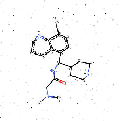 CCN(CC)CC(=O)NC(c1ccc(C#N)c2ncccc12)C1CCNCC1